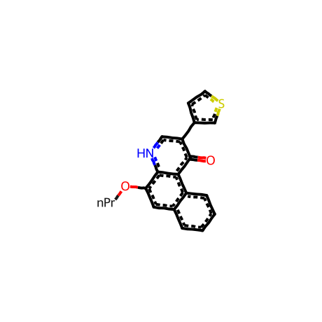 CCCOc1cc2ccccc2c2c(=O)c(-c3ccsc3)c[nH]c12